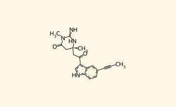 CC#Cc1ccc2[nH]cc(C(=O)C[C@]3(C)CC(=O)N(C)C(=N)N3)c2c1